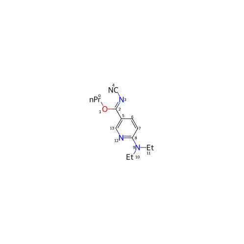 CCCOC(=NC#N)c1ccc(N(CC)CC)nc1